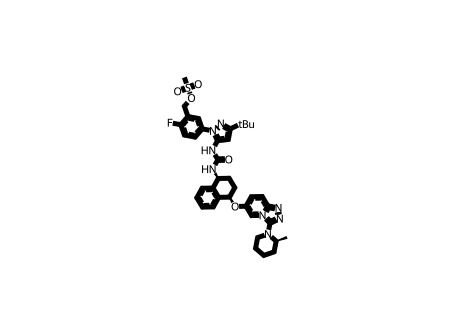 C[C@H]1CCCCN1c1nnc2ccc(O[C@@H]3CC[C@H](NC(=O)Nc4cc(C(C)(C)C)nn4-c4ccc(F)c(COS(C)(=O)=O)c4)c4ccccc43)cn12